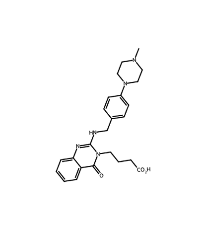 CN1CCN(c2ccc(CNc3nc4ccccc4c(=O)n3CCCC(=O)O)cc2)CC1